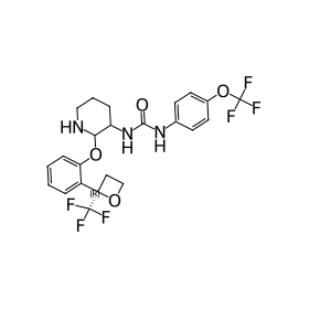 O=C(Nc1ccc(OC(F)(F)F)cc1)NC1CCCNC1Oc1ccccc1[C@@]1(C(F)(F)F)CCO1